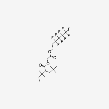 CCC(C)(C)C(CC(C)(C)C)C(=O)OCC(=O)OCCC(F)(F)C(F)(F)C(F)(F)C(F)(F)F